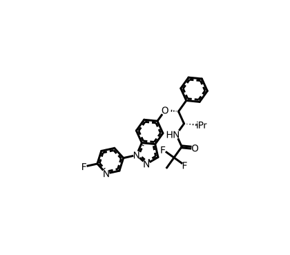 CC(C)[C@H](NC(=O)C(C)(F)F)[C@H](Oc1ccc2c(cnn2-c2ccc(F)nc2)c1)c1ccccc1